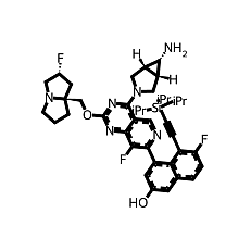 CC(C)[Si](C#Cc1c(F)ccc2cc(O)cc(-c3ncc4c(N5C[C@@H]6[C@H](N)[C@@H]6C5)nc(OC[C@@]56CCCN5C[C@H](F)C6)nc4c3F)c12)(C(C)C)C(C)C